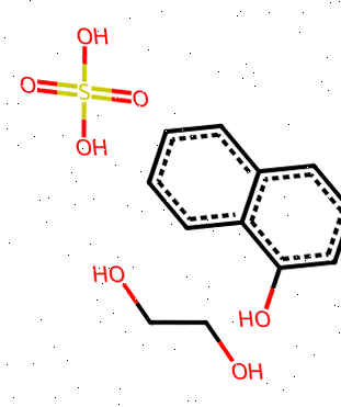 O=S(=O)(O)O.OCCO.Oc1cccc2ccccc12